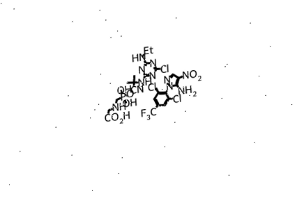 CCNc1nc(Cl)nc(NC(C)(C)C#N)n1.Nc1c([N+](=O)[O-])cnn1-c1c(Cl)cc(C(F)(F)F)cc1Cl.O=C(O)CNCP(=O)(O)O